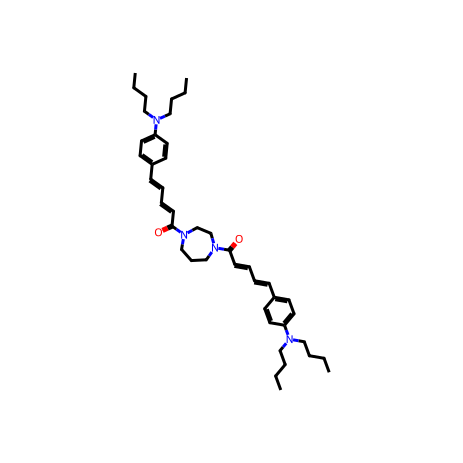 CCCCN(CCCC)c1ccc(/C=C/C=C/C(=O)N2CCCN(C(=O)/C=C/C=C/c3ccc(N(CCCC)CCCC)cc3)CC2)cc1